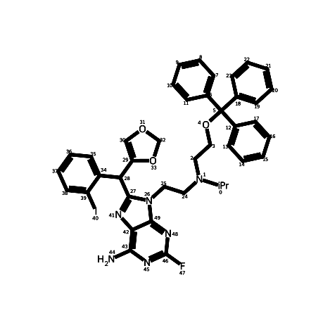 CC(C)N(CCOC(c1ccccc1)(c1ccccc1)c1ccccc1)CCn1c(C(C2=COCO2)c2ccccc2I)nc2c(N)nc(F)nc21